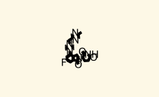 Cc1cnc(CN2CCN(c3cc(F)cc4c3CN(C3CCC(=O)NC3=O)C4=O)CC2)cn1